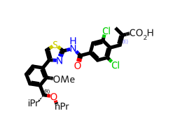 CCCO[C@@H](c1cccc(-c2csc(NC(=O)c3cc(Cl)c(/C=C(\C)C(=O)O)c(Cl)c3)n2)c1OC)C(C)C